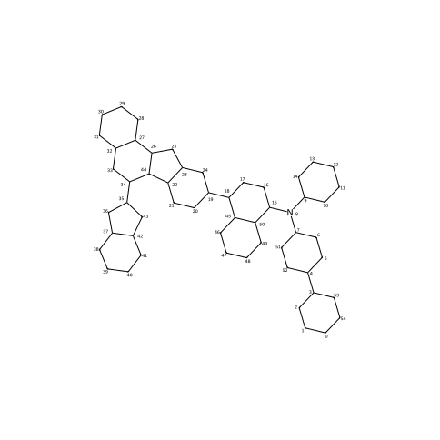 C1CCC(C2CCC(N(C3CCCCC3)C3CCC(C4CCC5C(C4)CC4C6CCCCC6CC(C6CC7CCCCC7C6)C54)C4CCCCC43)CC2)CC1